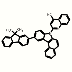 CC1(C)c2ccccc2-c2ccc(-c3ccc4c(c3)c3c5ccccc5ccc3n4-c3cc(C#N)c4ccccc4n3)cc21